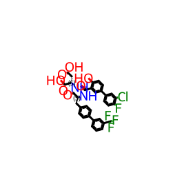 O=C(O)C[C@H](NC(=O)[C@H](Cc1ccc(-c2cccc(C(F)(F)F)c2)cc1)NC(=O)c1cc(-c2ccc(F)c(Cl)c2)ccc1O)C(=O)O